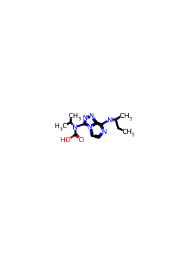 CCC(C)Nc1nccn2c(N(C(=O)O)C(C)C)nnc12